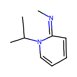 C/N=c1/ccccn1C(C)C